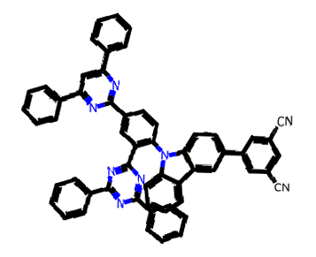 N#Cc1cc(C#N)cc(-c2ccc3c(c2)c2ccccc2n3-c2ccc(-c3nc(-c4ccccc4)cc(-c4ccccc4)n3)cc2-c2nc(-c3ccccc3)nc(-c3ccccc3)n2)c1